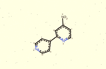 O=[N+]([O-])c1ccnc(-c2ccncc2)c1